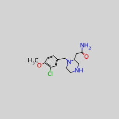 COc1ccc(CN2CCNCC2CC(N)=O)cc1Cl